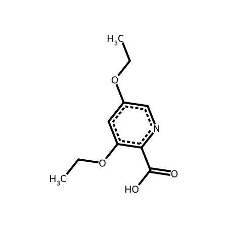 CCOc1cnc(C(=O)O)c(OCC)c1